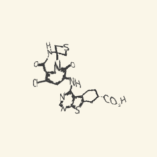 O=C1NC2(CSC2)n2c1c(Cl)cc(Nc1ncnc3sc4c(c13)CC[C@H](C(=O)O)C4)c2=O